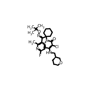 Cc1nc(F)ccc1/C(=N/OC(C)(C)C)C1(n2ncc(NCC3CCCOC3)c(Cl)c2=O)CCCCC1